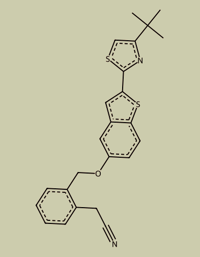 CC(C)(C)c1csc(-c2cc3cc(OCc4ccccc4CC#N)ccc3s2)n1